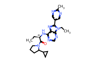 CC[C@@H](Nc1ncnc2c1nc(-c1cnc(C)nc1)n2CC)C(=O)N1CCCC1C1CC1